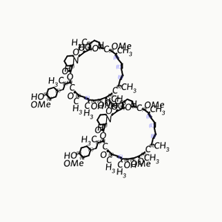 CO[C@H]1C[C@@H]2CC[C@@H](C)[C@@](O)(O2)C(=O)C(=O)N2CCCC[C@H]2C(=O)O[C@H]([C@@H](C)C[C@@H]2CC[C@@H](O)[C@H](OC)C2)CC(=O)[C@H](C)/C=C(\C)[C@@H](O)[C@@H](OC)C(=O)[C@H](C)C[C@H](C)/C=C/C=C/C=C/1C.CO[C@H]1C[C@@H]2CC[C@@H](C)[C@@](O)(O2)C(=O)C(=O)N2CCCC[C@H]2C(=O)O[C@H]([C@@H](C)C[C@@H]2CC[C@@H](O)[C@H](OC)C2)CC(=O)[C@H](C)/C=C(\C)[C@@H](O)[C@@H](OC)C(=O)[C@H](C)C[C@H](C)/C=C/C=C/C=C/1C